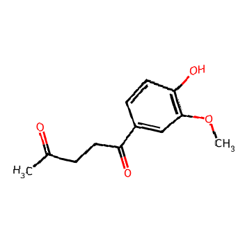 COc1cc(C(=O)CCC(C)=O)ccc1O